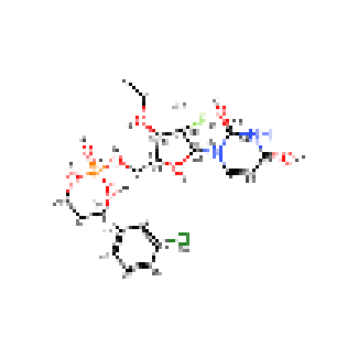 CCO[C@@H]1[C@@H](COP2(=O)OCC[C@@H](c3cccc(Cl)c3)O2)O[C@@H](n2ccc(=O)[nH]c2=O)[C@]1(C)F